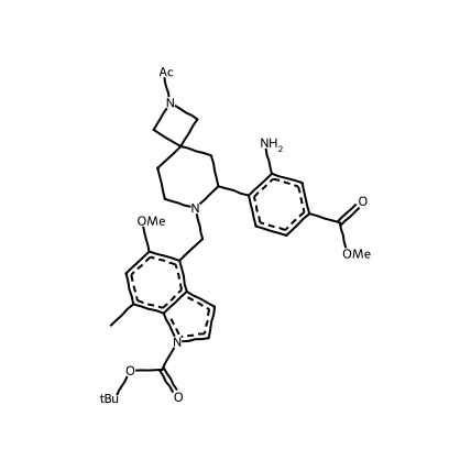 COC(=O)c1ccc(C2CC3(CCN2Cc2c(OC)cc(C)c4c2ccn4C(=O)OC(C)(C)C)CN(C(C)=O)C3)c(N)c1